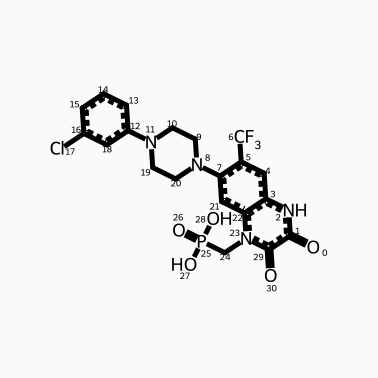 O=c1[nH]c2cc(C(F)(F)F)c(N3CCN(c4cccc(Cl)c4)CC3)cc2n(CP(=O)(O)O)c1=O